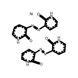 O=c1[nH]cccc1N=Nc1ccc[nH]c1=O.O=c1[nH]cccc1N=Nc1ccc[nH]c1=O.[Ni]